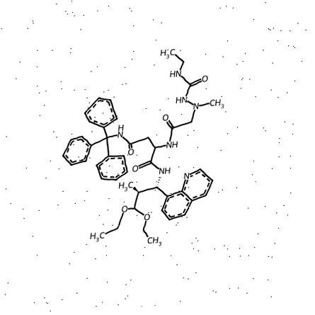 CCNC(=O)NN(C)CC(=O)NC(CC(=O)NC(c1ccccc1)(c1ccccc1)c1ccccc1)C(=O)N[C@H](c1cccc2cccnc12)[C@H](C)C(OCC)OCC